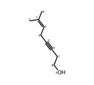 CC(C)=CCC#CCCO